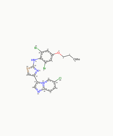 COCCOc1cc(Br)c(Nc2nc(-c3cnc4ccc(Cl)cn34)cs2)c(Br)c1